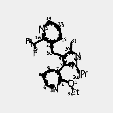 CCOc1ncccc1-c1c(Cc2cccnc2C(F)F)c(C)nn1C(C)C